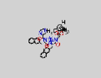 CC1(C)C2C[C@H]1C[C@H]1OB(CNC(=O)[C@H](Cc3ccc4ccccc4c3)NC(=O)[C@H](Cc3ccc4ccccc4c3)NC(=O)c3cnccn3)O[C@@]21C